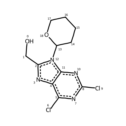 OCc1nc2c(Cl)nc(Cl)nc2n1C1CCCCO1